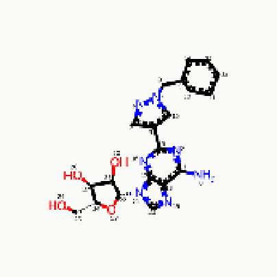 Nc1nc(-c2cnn(Cc3ccccc3)c2)nc2c1ncn2[C@@H]1O[C@H](CO)[C@@H](O)[C@H]1O